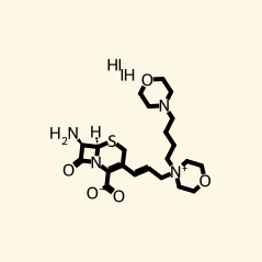 I.I.N[C@@H]1C(=O)N2C(C(=O)[O-])=C(/C=C/C[N+]3(CCCCN4CCOCC4)CCOCC3)CS[C@H]12